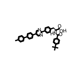 Cc1ccc(-c2ccc(-c3cnc(-c4ccc(C[C@H](NC(=O)c5ccc(C(C)(C)C)cc5)C(=O)O)cc4)nc3)cc2)cc1